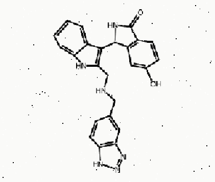 O=C1NC(c2c(CNCc3ccc4[nH]nnc4c3)[nH]c3ccccc23)c2cc(O)ccc21